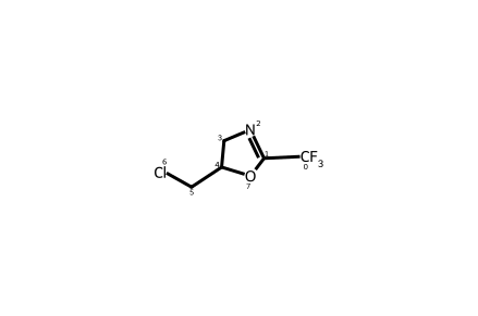 FC(F)(F)C1=NCC(CCl)O1